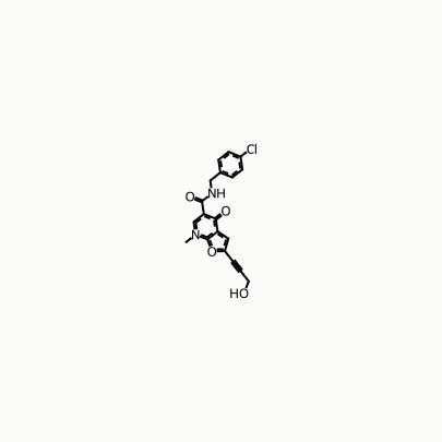 Cn1cc(C(=O)NCc2ccc(Cl)cc2)c(=O)c2cc(C#CCO)oc21